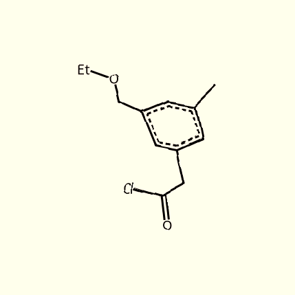 CCOCc1cc(C)cc(CC(=O)Cl)c1